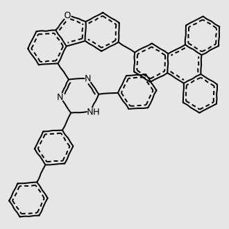 c1ccc(C2=NC(c3cccc4oc5ccc(-c6ccc7c8ccccc8c8ccccc8c7c6)cc5c34)=NC(c3ccc(-c4ccccc4)cc3)N2)cc1